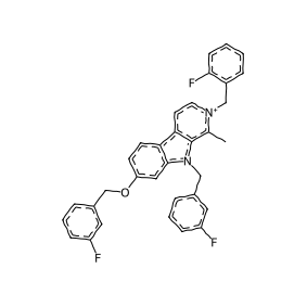 Cc1c2c(cc[n+]1Cc1ccccc1F)c1ccc(OCc3cccc(F)c3)cc1n2Cc1cccc(F)c1